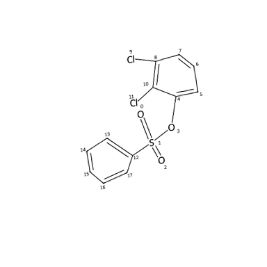 O=S(=O)(Oc1cccc(Cl)c1Cl)c1ccccc1